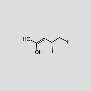 OC(O)=CC(I)CI